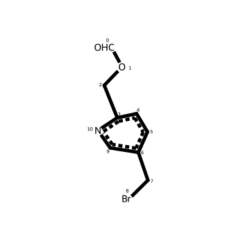 O=COCc1ccc(CBr)cn1